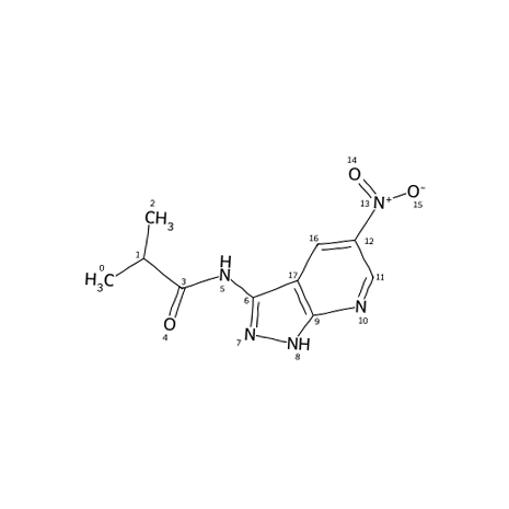 CC(C)C(=O)Nc1n[nH]c2ncc([N+](=O)[O-])cc12